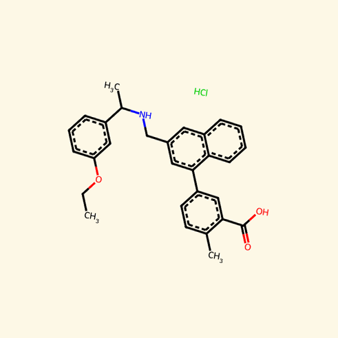 CCOc1cccc(C(C)NCc2cc(-c3ccc(C)c(C(=O)O)c3)c3ccccc3c2)c1.Cl